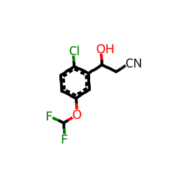 N#CCC(O)c1cc(OC(F)F)ccc1Cl